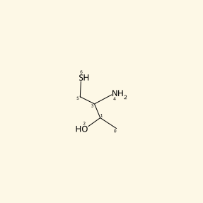 CC(O)C(N)CS